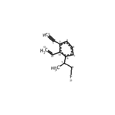 C#Cc1cccc([C](C)CF)c1C=C